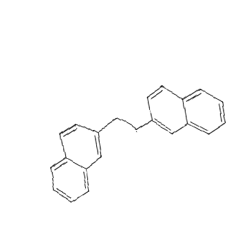 [CH](Cc1ccc2ccccc2c1)c1ccc2ccccc2c1